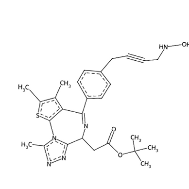 Cc1sc2c(c1C)C(c1ccc(CC#CCNO)cc1)=NC(CC(=O)OC(C)(C)C)c1nnc(C)n1-2